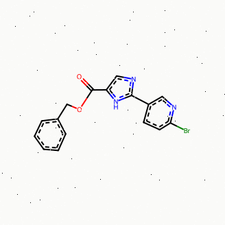 O=C(OCc1ccccc1)c1cnc(-c2ccc(Br)nc2)[nH]1